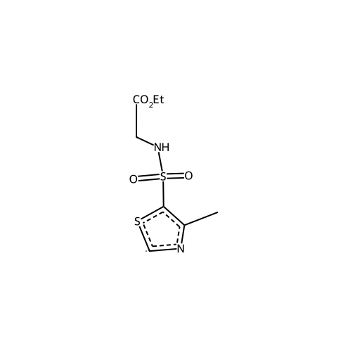 CCOC(=O)CNS(=O)(=O)c1s[c]nc1C